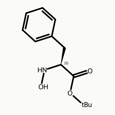 CC(C)(C)OC(=O)[C@H](Cc1ccccc1)NO